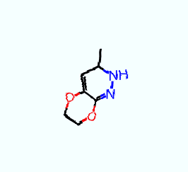 CC1C=C2OCCOC2=NN1